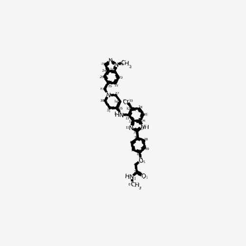 CNC(=O)COc1ccc(-c2nc3c(NC4CCN(Cc5ccc6c(cnn6C)c5)CC4)c(Cl)ccc3[nH]2)cc1